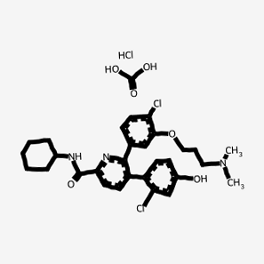 CN(C)CCCOc1cc(-c2nc(C(=O)NC3CCCCC3)ccc2-c2ccc(O)cc2Cl)ccc1Cl.Cl.O=C(O)O